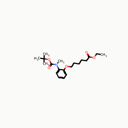 CCOC(=O)CCCCCOc1ccccc1N(C)C(=O)OC(C)(C)C